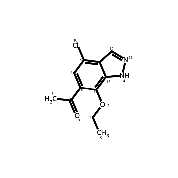 CCOc1c(C(C)=O)cc(Cl)c2cn[nH]c12